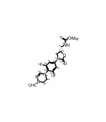 COC(=S)NC[C@H]1CN(c2cc(F)c(N3C=NN(C=O)CC3)c(F)c2)C(=O)O1